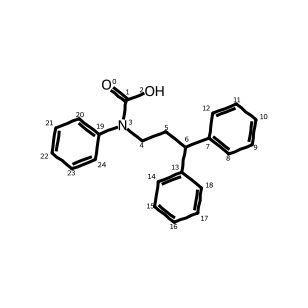 O=C(O)N(CCC(c1ccccc1)c1ccccc1)c1ccccc1